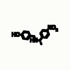 C[C@@H](NCc1ccc(O)cc1)c1ccc([N+](=O)[O-])cc1